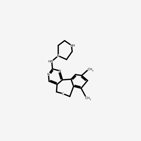 Cc1cc(C)c2c(c1)-c1nc(NN3CCNCC3)ncc1CCC2